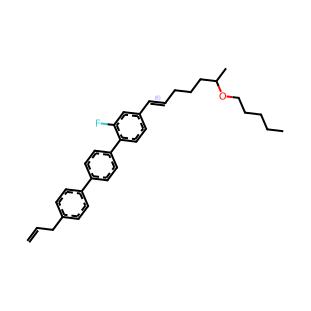 C=CCc1ccc(-c2ccc(-c3ccc(/C=C/CCCC(C)OCCCCC)cc3F)cc2)cc1